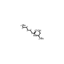 CCCCC(CO)NC(=O)CCCCCC(C)(C)C